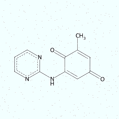 CC1=CC(=O)C=C(Nc2ncccn2)C1=O